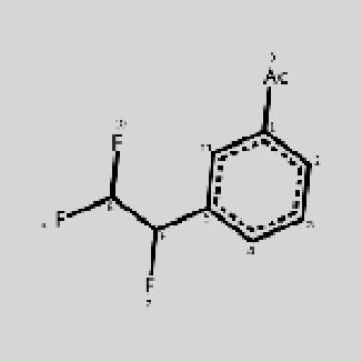 CC(=O)c1cccc(C(F)C(F)F)c1